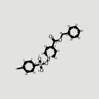 Cc1ccc(S(=O)(=O)O[n+]2ccc(C(=O)OCc3ccccc3)cc2)cc1